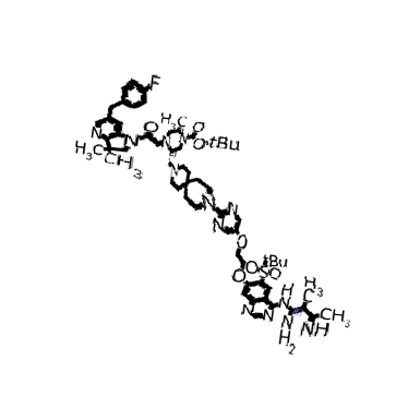 CC(=N)/C(C)=C(\N)Nc1ncnc2cc(OCCOc3cnc(N4CCC5(CCN(C[C@H]6CN(C(=O)OC(C)(C)C)[C@H](C)CN6CC(=O)N6CC(C)(C)c7ncc(Cc8ccc(F)cc8)cc76)CC5)CC4)nc3)c(S(=O)(=O)C(C)(C)C)cc12